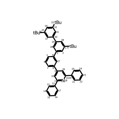 CC(C)(C)c1cc(-c2cccc(-c3cc(-c4ccccc4)nc(-c4ccccc4)c3)c2)cc(-c2cc(C(C)(C)C)cc(C(C)(C)C)c2)c1